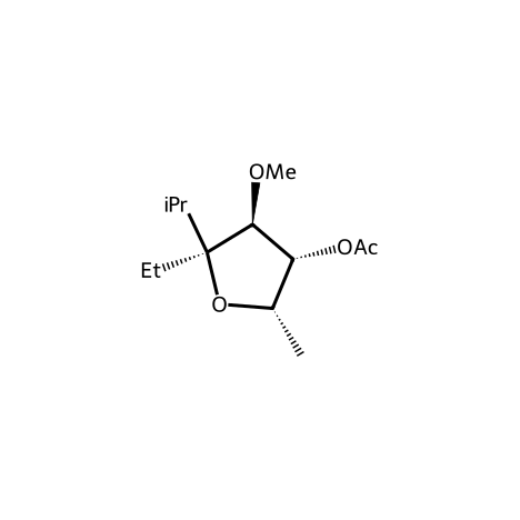 CC[C@@]1(C(C)C)O[C@@H](C)[C@@H](OC(C)=O)[C@@H]1OC